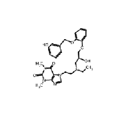 CCN(CCn1cnc2c1c(=O)n(C)c(=O)n2C)CC(O)COc1ccccc1OCc1ccccc1.Cl